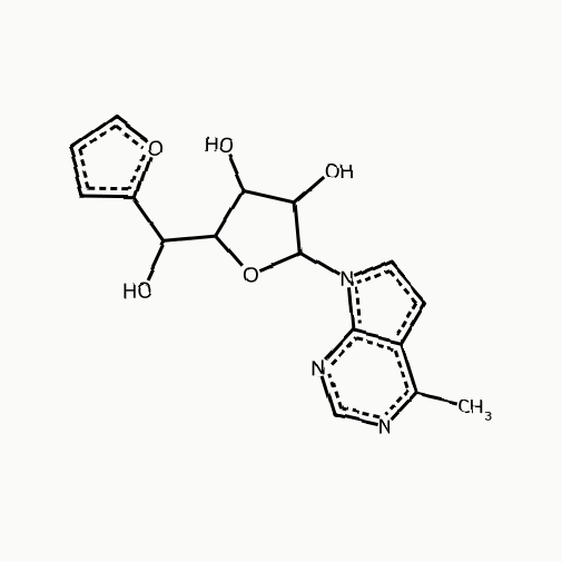 Cc1ncnc2c1ccn2C1OC(C(O)c2ccco2)C(O)C1O